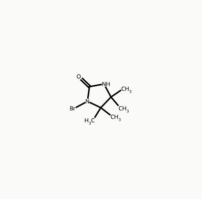 CC1(C)NC(=O)N(Br)C1(C)C